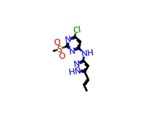 CC=Cc1cc(Nc2cc(Cl)nc(S(C)(=O)=O)n2)n[nH]1